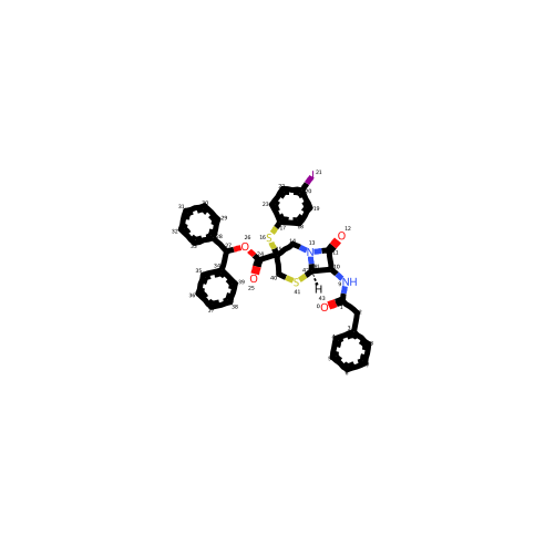 O=C(Cc1ccccc1)NC1C(=O)N2CC(Sc3ccc(I)cc3)(C(=O)OC(c3ccccc3)c3ccccc3)CS[C@H]12